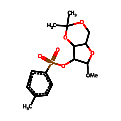 COC1OC2COC(C)(C)OC2C1OS(=O)(=O)c1ccc(C)cc1